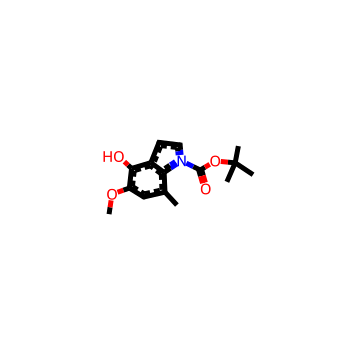 COc1cc(C)c2c(ccn2C(=O)OC(C)(C)C)c1O